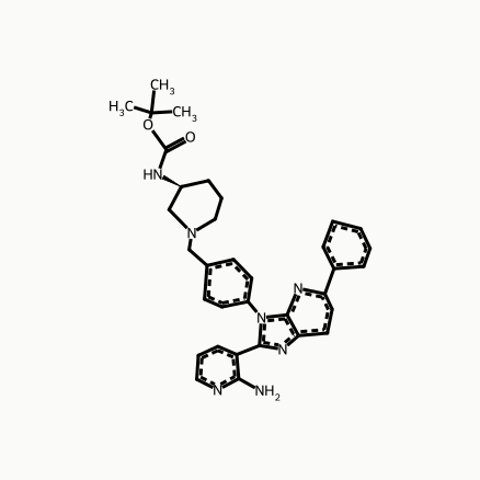 CC(C)(C)OC(=O)N[C@H]1CCCN(Cc2ccc(-n3c(-c4cccnc4N)nc4ccc(-c5ccccc5)nc43)cc2)C1